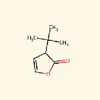 CC(C)(C)C1C=COC1=O